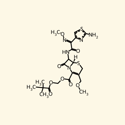 COCC1=C(C(=O)OCOC(=O)C(C)(C)C)N2C(=O)C(NC(=O)C(=NOC)c3csc(N)n3)[C@@H]2SC1